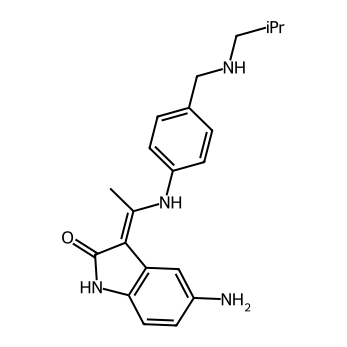 CC(Nc1ccc(CNCC(C)C)cc1)=C1C(=O)Nc2ccc(N)cc21